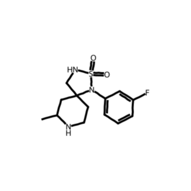 CC1CC2(CCN1)CNS(=O)(=O)N2c1cccc(F)c1